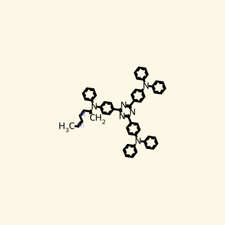 C=C(/C=C\C=C/C)N(c1ccccc1)c1ccc(-c2nc(-c3ccc(N(c4ccccc4)c4ccccc4)cc3)nc(-c3ccc(N(c4ccccc4)c4ccccc4)cc3)n2)cc1